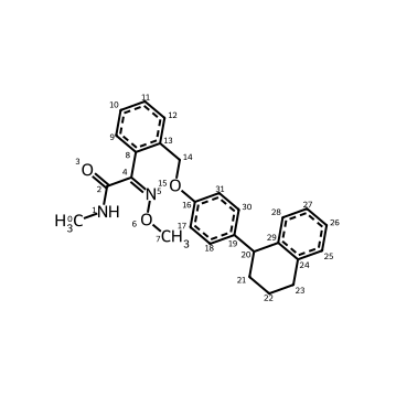 CNC(=O)C(=NOC)c1ccccc1COc1ccc(C2CCCc3ccccc32)cc1